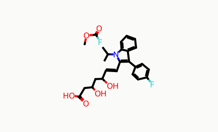 CC(C)n1c(/C=C/C(O)CC(O)CC(=O)O)c(-c2ccc(F)cc2)c2ccccc21.COC(=O)F